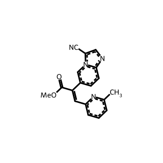 COC(=O)/C(=C/c1cccc(C)n1)c1ccc2ncc(C#N)n2c1